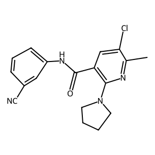 Cc1nc(N2CCCC2)c(C(=O)Nc2cccc(C#N)c2)cc1Cl